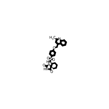 Cc1cc(COc2ccc(S(=O)(=O)N[C@H]3CCCC[C@@]34NC(=O)NC4=O)cc2)c2ccccc2n1